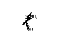 CCC(/C=C/C(C)(CC)C(C)(C)CC(C)N)CCOCO